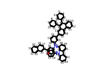 c1ccc(-c2c(-c3ccccc3)c3cc(-c4cccc(N(c5cccc(-c6ccc7ccccc7c6)c5)c5cccc6c7ccccc7n(-c7ccccc7)c56)c4)ccc3c3ccccc23)cc1